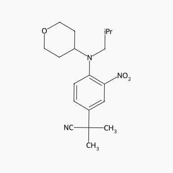 CC(C)CN(c1ccc(C(C)(C)C#N)cc1[N+](=O)[O-])C1CCOCC1